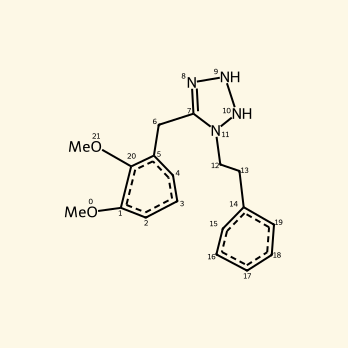 COc1cccc(CC2=NNNN2CCc2ccccc2)c1OC